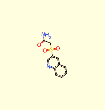 NC(=O)CS(=O)(=O)c1cnc2ccccc2c1